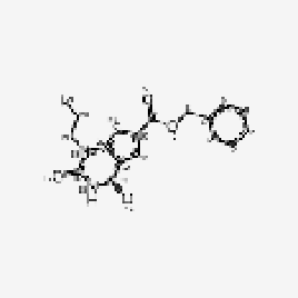 O=C(OCc1ccccc1)c1cc2c(=O)[nH]c(=O)n(CCI)c2s1